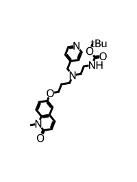 Cn1c(=O)ccc2cc(OCCCN(CCNC(=O)OC(C)(C)C)Cc3ccncc3)ccc21